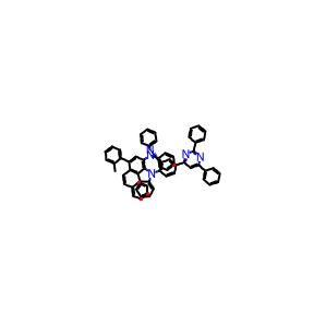 Cc1ccccc1-c1cc(N(c2ccccc2)c2ccccc2)c2c(c1/C=C\c1ccccc1)c1ccccc1n2-c1ccc(-c2cc(-c3ccccc3)nc(-c3ccccc3)n2)cc1C#N